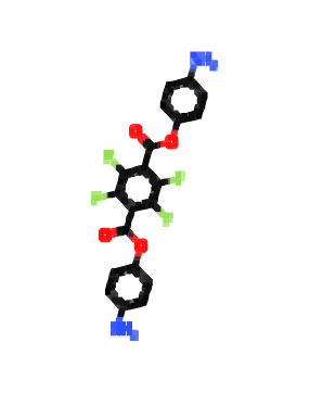 Nc1ccc(OC(=O)c2c(F)c(F)c(C(=O)Oc3ccc(N)cc3)c(F)c2F)cc1